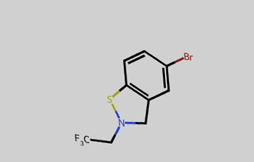 FC(F)(F)CN1Cc2cc(Br)ccc2S1